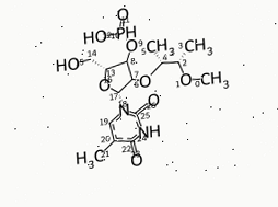 CO[C@@H](C)[C@@H](C)OC1C(O[PH](=O)O)[C@@H](CO)O[C@H]1n1cc(C)c(=O)[nH]c1=O